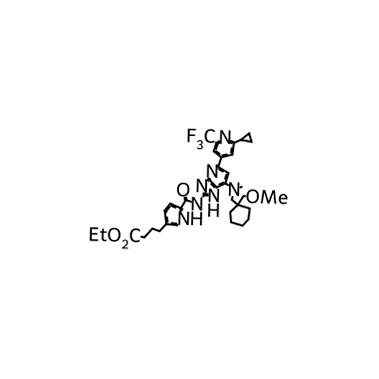 CCOC(=O)CCCc1ccc(C(=O)Nc2nc3nc(-c4cc(C5CC5)nc(C(F)(F)F)c4)cc(N(C)CC4(COC)CCCCC4)c3[nH]2)nc1